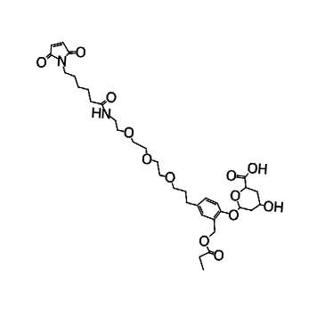 CCC(=O)OCc1cc(CCCOCCOCCOCCNC(=O)CCCCCN2C(=O)C=CC2=O)ccc1OC1CC(O)CC(C(=O)O)O1